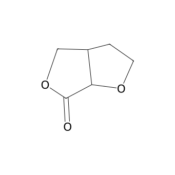 O=C1OCC2CCOC12